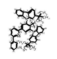 CC(C)(C)c1ccc2c3ccccc3n(-c3cc(-c4cccc(-c5ccccc5)n4)cc(-n4c5ccccc5c5ccc(C(C)(C)C)cc54)c3C(F)(F)F)c2c1